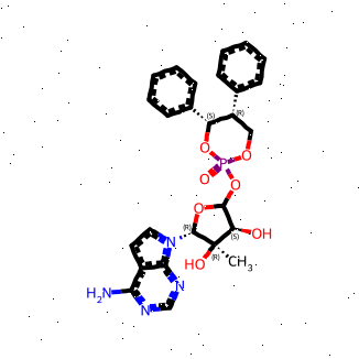 C[C@@]1(O)[C@H](O)C(OP2(=O)OC[C@@H](c3ccccc3)[C@@H](c3ccccc3)O2)O[C@H]1n1ccc2c(N)ncnc21